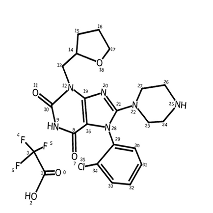 O=C(O)C(F)(F)F.O=c1[nH]c(=O)n(CC2CCCO2)c2nc(N3CCNCC3)n(-c3ccccc3Cl)c12